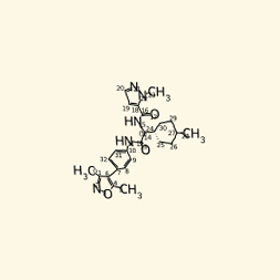 Cc1noc(C)c1-c1ccc(NC(=O)[C@@H](NC(=O)c2ccnn2C)[C@H]2CC[C@H](C)CC2)cc1